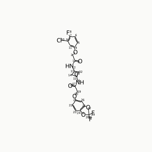 O=C(COc1ccc(F)c(Cl)c1)NC12CC(NC(=O)COc3ccc4c(c3)OC(F)(F)O4)(C1)C2